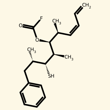 C=C/C=C\[C@H](C)[C@H](OC(=O)F)[C@@H](C)[C@H](S)[C@@H](C)Cc1ccccc1